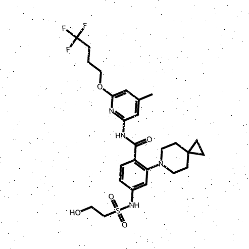 Cc1cc(NC(=O)c2ccc(NS(=O)(=O)CCO)cc2N2CCC3(CC2)CC3)nc(OCCCC(F)(F)F)c1